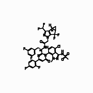 Cn1nc(NS(C)(=O)=O)c2c(Cl)ccc(-n3c([C@H](Cc4cc(F)cc(F)c4)NC(=O)Cn4nc(C(F)F)c5c4C(F)(F)C4C[C@@H]54)nc(-c4ccc(F)cc4F)cc3=O)c21